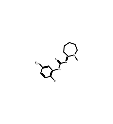 CN1CCCCCC1=NC(=O)Nc1cc(C(F)(F)F)ccc1Cl